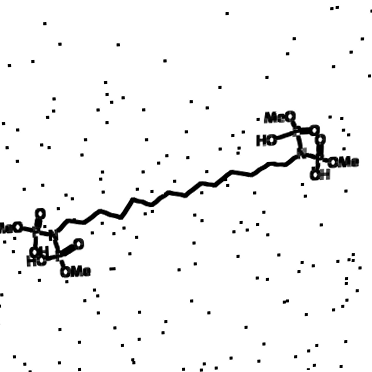 COP(=O)(O)N(CCCCCCCCCCCCCCN(P(=O)(O)OC)P(=O)(O)OC)P(=O)(O)OC